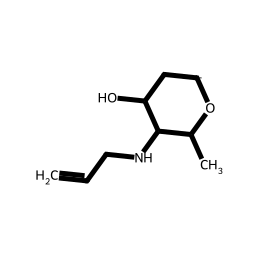 C=CCNC1C(O)C[CH]OC1C